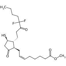 CCCCC(F)(F)C(=O)CC[C@H]1[C@H](S)CC(=O)[C@@H]1C/C=C\CCCCC(=O)OC